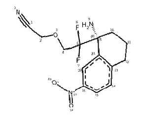 N#CCOCC(F)(F)[C@@]1(N)CCCc2ccc([N+](=O)[O-])cc21